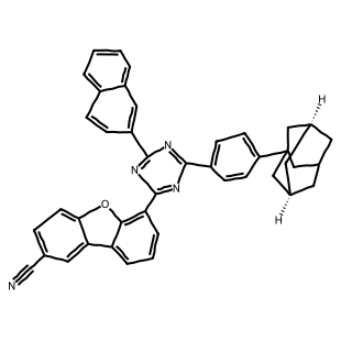 N#Cc1ccc2oc3c(-c4nc(-c5ccc(C67CC8C[C@H](C6)C[C@@H](C8)C7)cc5)nc(-c5ccc6ccccc6c5)n4)cccc3c2c1